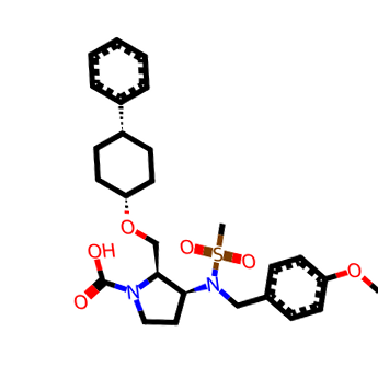 COc1ccc(CN([C@H]2CCN(C(=O)O)[C@H]2CO[C@H]2CC[C@@H](c3ccccc3)CC2)S(C)(=O)=O)cc1